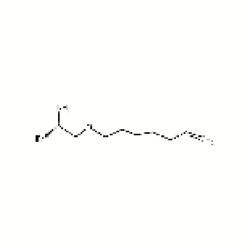 C=CCCCCCOC[C@H](N)C(C)C